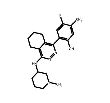 Cc1cc(O)c(-c2nnc(NC3CCCN(C)C3)c3c2CCCC3)cc1F